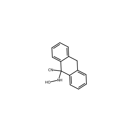 [C-]#[N+]C1(NO)c2ccccc2Cc2ccccc21